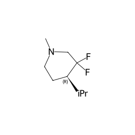 CC(C)[C@H]1CCN(C)CC1(F)F